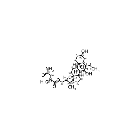 CC[C@@H]1C2C[C@H](O)CCC2(C)[C@H]2CCC3(C)[C@@H]([C@H](C)CCOC(=O)N(C)CC(N)=O)CC[C@H]3[C@@H]2[C@@H]1O